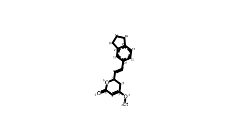 CCOC1=CC(=O)OC(C=Cc2ccc3c(c2)CCC3)C1